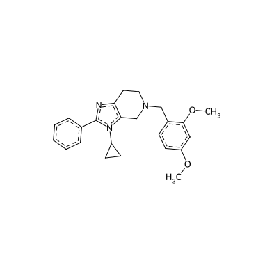 COc1ccc(CN2CCc3nc(-c4ccccc4)n(C4CC4)c3C2)c(OC)c1